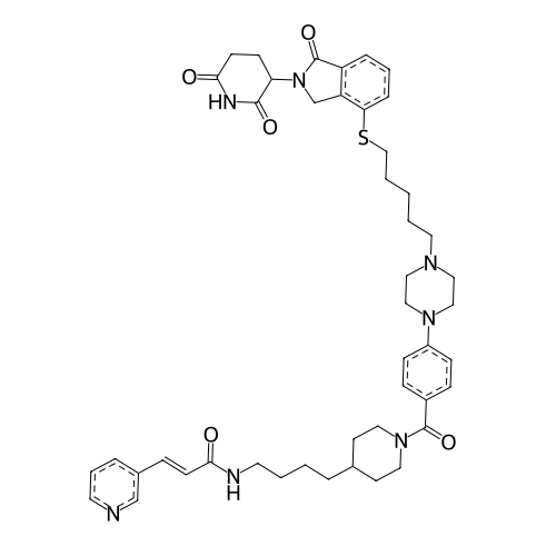 O=C(/C=C/c1cccnc1)NCCCCC1CCN(C(=O)c2ccc(N3CCN(CCCCCSc4cccc5c4CN(C4CCC(=O)NC4=O)C5=O)CC3)cc2)CC1